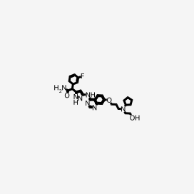 NC(=O)C(c1cc(Nc2ncnc3cc(OCCCN(CCO)C4CCCC4)ccc23)n[nH]1)C1C=C(F)C=CC1